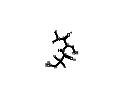 CN(C)C(=O)C(CS)NC(=O)C(C)(C)CS